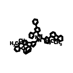 CC1(C)c2ccccc2Oc2c1ccc1c2C2(c3ccc(-c4nc(-c5cccc(-c6cccc7c6C(C)(C)c6ccccc6-7)c5)nc(-c5ccc(-c6ccccc6)cc5-c5ccccc5)n4)cc3-1)C1CC3CC(C1)CC2C3